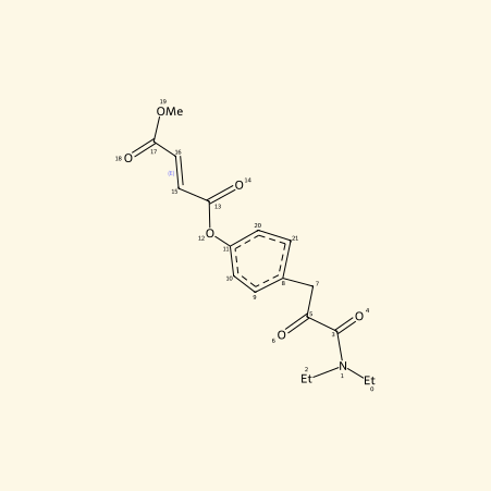 CCN(CC)C(=O)C(=O)Cc1ccc(OC(=O)/C=C/C(=O)OC)cc1